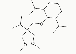 COCC(COC)(COC1C(C(C)C)CCCC1C(C)C)C(C)C